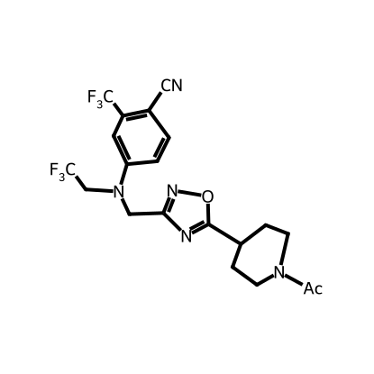 CC(=O)N1CCC(c2nc(CN(CC(F)(F)F)c3ccc(C#N)c(C(F)(F)F)c3)no2)CC1